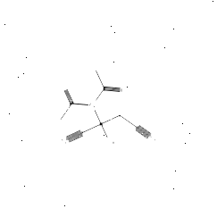 CC(=O)N(C(C)=O)C(O)(C#N)CC#N